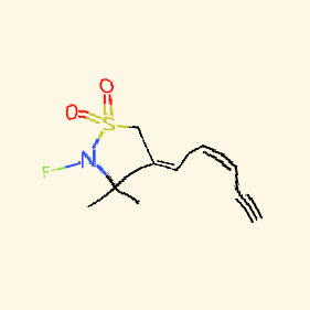 C#C/C=C\C=C1/CS(=O)(=O)N(F)C1(C)C